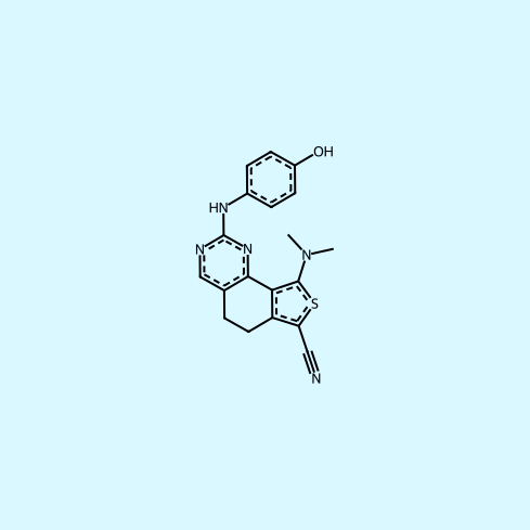 CN(C)c1sc(C#N)c2c1-c1nc(Nc3ccc(O)cc3)ncc1CC2